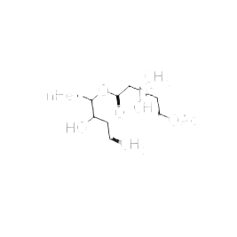 C=CCC(O)C(CCCCCC)OC(=O)C[N+](C)(C)CCOC(C)=O